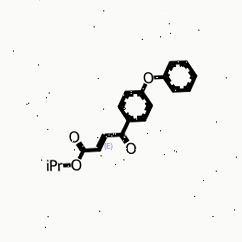 CC(C)OC(=O)/C=C/C(=O)c1ccc(Oc2ccccc2)cc1